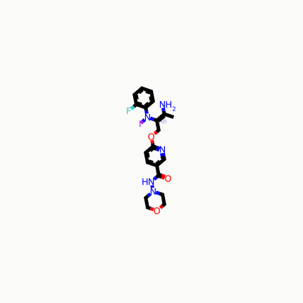 C/C(N)=C(\COc1ccc(C(=O)NN2CCOCC2)cn1)N(I)c1ccccc1F